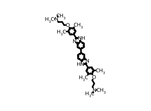 Cc1cc(-c2nc3cc(-c4ccc5[nH]c(-c6cc(C)c(OCCCN(C)C)c(C)c6)nc5c4)ccc3[nH]2)cc(C)c1OCCCN(C)C